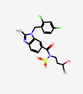 CCC(O)CCN(C(=O)c1ccc2nc(C)n(Cc3ccc(Cl)cc3Cl)c2c1)[SH](=O)=O